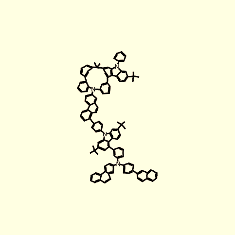 CC(C)(C)c1ccc2c3c(-c4cccc(N(c5ccc(-c6ccc7ccccc7c6)cc5)c5ccc6c(ccc7ccccc76)c5)c4)cc(C(C)(C)C)cc3n(-c3ccc(-c4cccc5c4ccc4cc(N6c7cccc(c7)-c7cc(cc8c7c7ccc(C(C)(C)C)cc7n8-c7ccccc7)C(C)(C)c7cccc(c7)-c7ccccc76)ccc45)cc3)c2c1